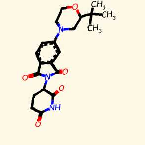 CC(C)(C)C1CN(c2ccc3c(c2)C(=O)N(C2CCC(=O)NC2=O)C3=O)CCO1